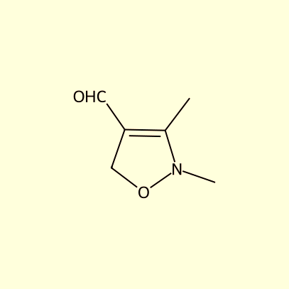 CC1=C(C=O)CON1C